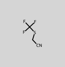 N#CCSC(F)(F)F